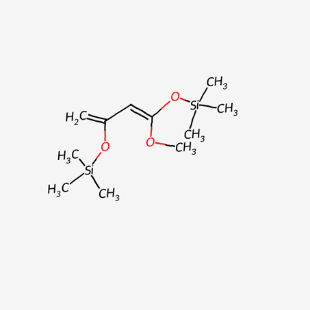 C=C(/C=C(\OC)O[Si](C)(C)C)O[Si](C)(C)C